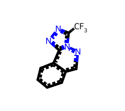 FC(F)(F)c1nnc2c3ccccc3cnn12